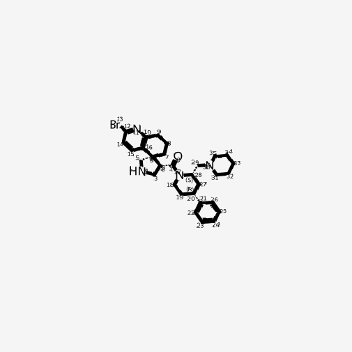 O=C([C@@H]1CNC[C@]12CCCc1nc(Br)ccc12)N1CC[C@@H](c2ccccc2)C[C@H]1CN1CCCCC1